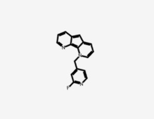 Fc1cc(Cn2cccc3cc4cccnc4c2-3)ccn1